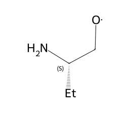 CC[C@H](N)C[O]